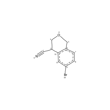 N#CC1COCc2ccc(Br)cc21